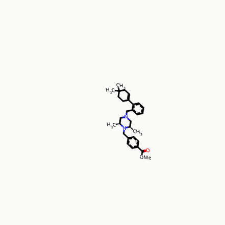 COC(=O)c1ccc(CN2[C@H](C)CN(Cc3ccccc3C3=CCC(C)(C)CC3)C[C@@H]2C)cc1